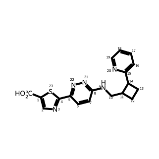 O=C(O)c1cnc(-c2ccc(NCC3CCC3c3ccccn3)nn2)s1